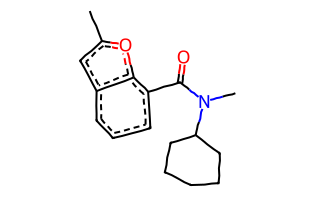 Cc1cc2cccc(C(=O)N(C)C3CCCCC3)c2o1